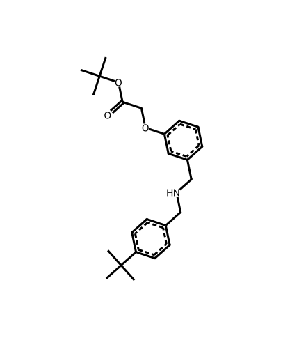 CC(C)(C)OC(=O)COc1cccc(CNCc2ccc(C(C)(C)C)cc2)c1